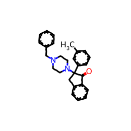 Cc1cccc(C2(N3CCN(Cc4ccccc4)CC3)Cc3ccccc3C2=O)c1